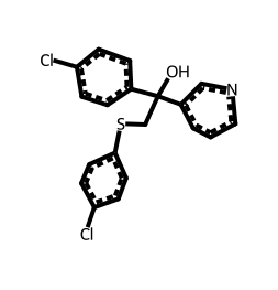 OC(CSc1ccc(Cl)cc1)(c1ccc(Cl)cc1)c1cccnc1